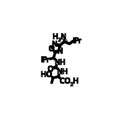 CC(C)C[C@H](N)c1noc(C(NC(=O)NC(C(=O)O)C(C)O)C(C)C)n1